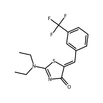 CCN(CC)C1=NC(=O)C(=Cc2cccc(C(F)(F)F)c2)S1